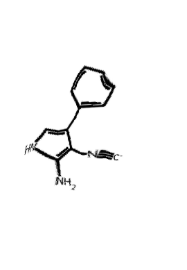 [C-]#[N+]c1c(-c2ccccc2)c[nH]c1N